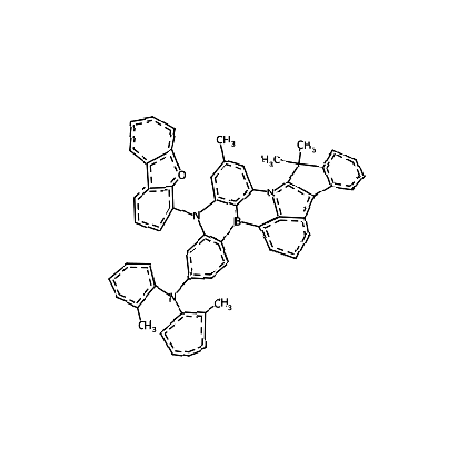 Cc1cc2c3c(c1)-n1c4c(c5cccc(c51)B3c1ccc(N(c3ccccc3C)c3ccccc3C)cc1N2c1cccc2c1oc1ccccc12)-c1ccccc1C4(C)C